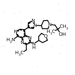 CCc1nc2c(N)ncc(-c3cnn(C4CCN(CC(C)(C)O)CC4)c3)c2nc1NC1CCOCC1